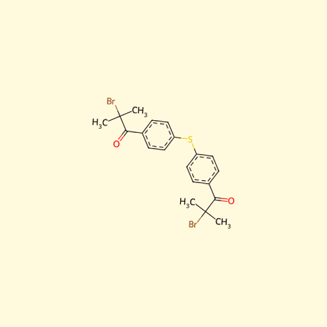 CC(C)(Br)C(=O)c1ccc(Sc2ccc(C(=O)C(C)(C)Br)cc2)cc1